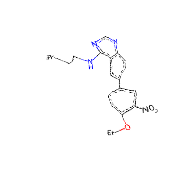 CCOc1ccc(-c2ccc3ncnc(NCCC(C)C)c3c2)cc1[N+](=O)[O-]